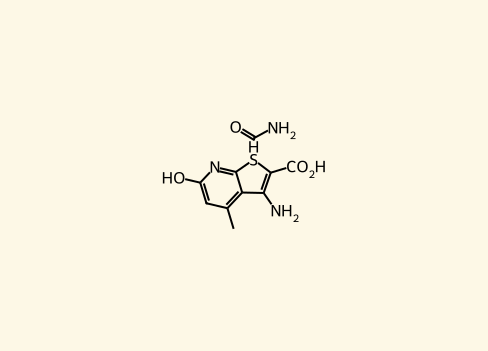 Cc1cc(O)nc2c1C(N)=C(C(=O)O)[SH]2C(N)=O